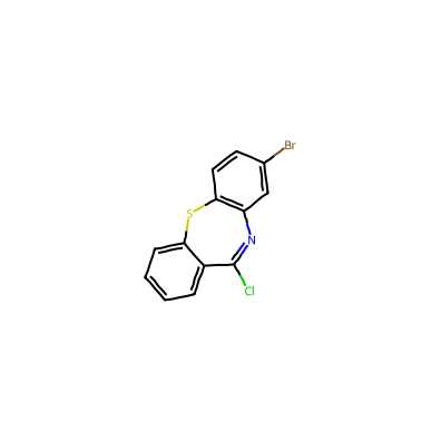 ClC1=Nc2cc(Br)ccc2Sc2ccccc21